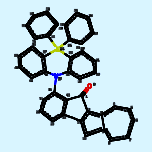 O=C1c2c3cccccc-3cc2-c2cccc(N3c4ccccc4S(c4ccccc4)(c4ccccc4)c4ccccc43)c21